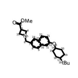 COC(=O)C1CN(Cc2ccc3cc(OC4CCC(C(C)(C)C)CC4)ccc3c2)C1